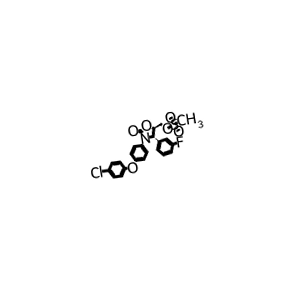 CS(=O)(=O)OC[C@@H]1OC(=O)N(c2ccc(Oc3ccc(Cl)cc3)cc2)[C@H]1c1cccc(F)c1